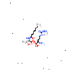 CCCCCCCC(=O)NC(C)C(=O)O.N=C(N)NCCC[C@H](N)C(=O)O